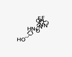 O=C(Nc1ccc(CCO)cc1)c1cc(O)n(-c2ncccc2C(F)(F)F)n1